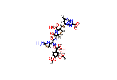 CC(=O)Oc1ccc([C@H](ON=C(C(=O)N[C@@H]2C(=O)N3C(C(=O)O)=C(CSc4cc(C)nc5nc(C(=O)O)nn45)CS[C@H]23)c2csc(N)n2)C(=O)O)cc1OC(C)=O